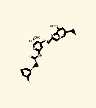 CC(=O)Nc1cc(C2CC2)cn2cc(CNc3ccnc(NC(=O)[C@H]4C[C@@H]4c4cccc(Cl)c4)c3)nc12.O=CO